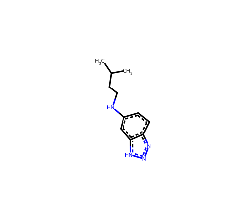 CC(C)CCNc1ccc2nn[nH]c2c1